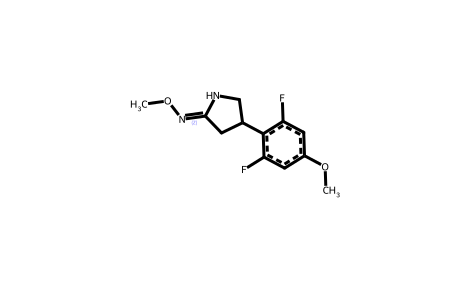 CO/N=C1/CC(c2c(F)cc(OC)cc2F)CN1